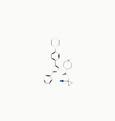 N#CC1(NC(=O)[C@@H]2CCC(F)(F)C[C@H]2c2nc(-c3cncc(F)c3)sc2-c2ccc(N3CCS(O)(O)CC3)cc2)CC1